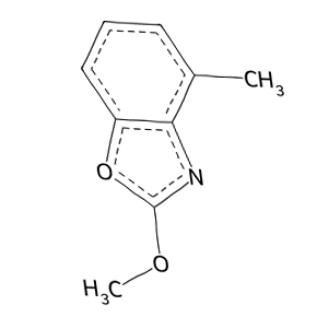 COc1nc2c(C)cccc2o1